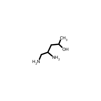 CC(O)CC(N)CN